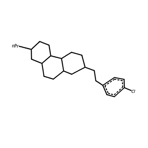 CCCC1CCC2C(CCC3CC(CCc4ccc(Cl)cc4)CCC32)C1